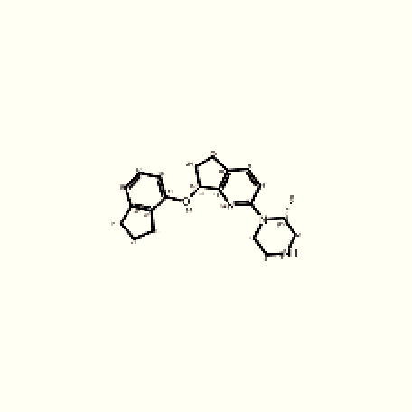 C[C@@H]1CNCCN1c1ccc2c(n1)[C@@H](Oc1cccc3c1CCC3)CC2